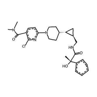 CN(C)C(=O)c1ccc(N2CCC([C@@H]3C[C@H]3CNC(=O)[C@@](C)(O)c3ccccc3)CC2)nc1Cl